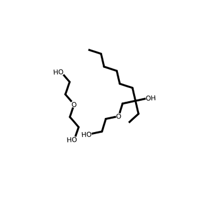 CCCCCCC(O)(CC)COCCO.OCCOCCO